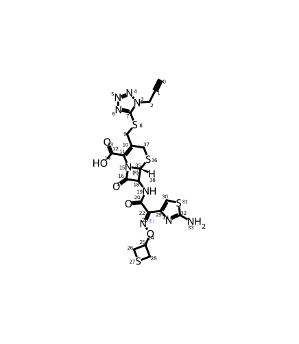 C#CCn1nnnc1SCC1=C(C(=O)O)N2C(=O)C(NC(=O)/C(=N/OC3CSC3)c3csc(N)n3)[C@H]2SC1